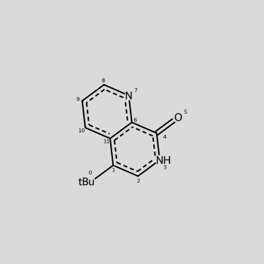 CC(C)(C)c1c[nH]c(=O)c2ncccc12